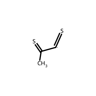 CC(=S)[C]=S